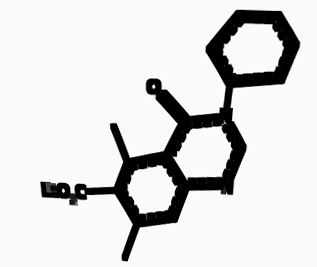 CCOC(=O)c1c(C)cc2ncn(-c3ccccc3)c(=O)c2c1C